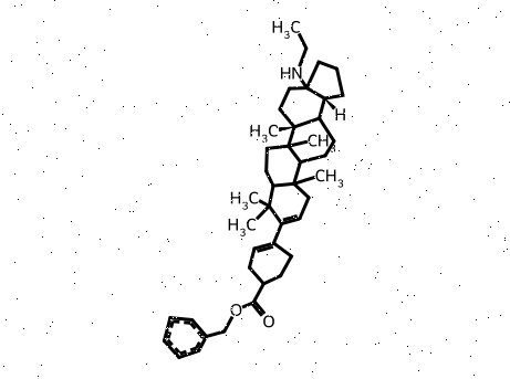 CCNC12CCC[C@@H]1C1CCC3C4(C)CC=C(C5=CCC(C(=O)OCc6ccccc6)CC5)C(C)(C)C4CCC3(C)[C@]1(C)CC2